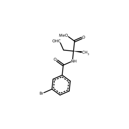 COC(=O)[C@@](C)(CC=O)NC(=O)c1cccc(Br)c1